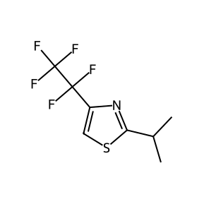 CC(C)c1nc(C(F)(F)C(F)(F)F)cs1